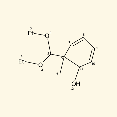 CCOC(OCC)C1(C)C=CC=CC1O